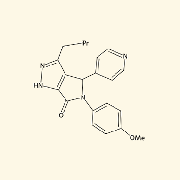 COc1ccc(N2C(=O)c3[nH]nc(CC(C)C)c3C2c2ccncc2)cc1